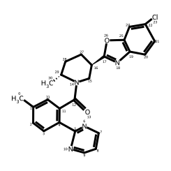 Cc1ccc(-c2ncccn2)c(C(=O)N2C[C@H](c3nc4ccc(Cl)cc4o3)CC[C@H]2C)c1